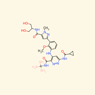 BC(B)(B)NC(=O)c1nnc(NC(=O)C2CC2)cc1Nc1cccc(-c2cc(C(=O)NC(CO)CO)n(C)n2)c1OC